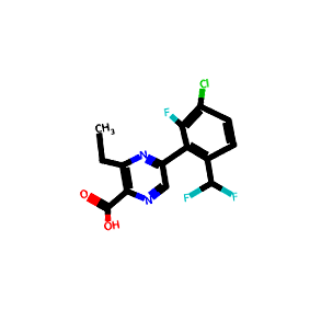 CCc1nc(-c2c(C(F)F)ccc(Cl)c2F)cnc1C(=O)O